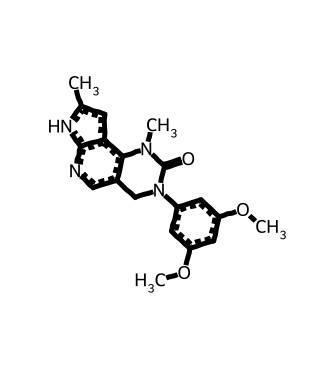 COc1cc(OC)cc(N2Cc3cnc4[nH]c(C)cc4c3N(C)C2=O)c1